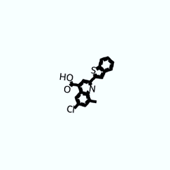 Cc1cc(Cl)cc2c(C(=O)O)cc(-c3cc4ccccc4s3)nc12